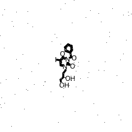 O=C(c1ccccc1)n1c(=O)c(I)cn(CC[C@H](O)CO)c1=O